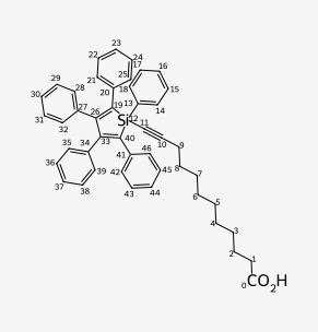 O=C(O)CCCCCCCCCC#C[Si]1(c2ccccc2)C(c2ccccc2)=C(c2ccccc2)C(c2ccccc2)=C1c1ccccc1